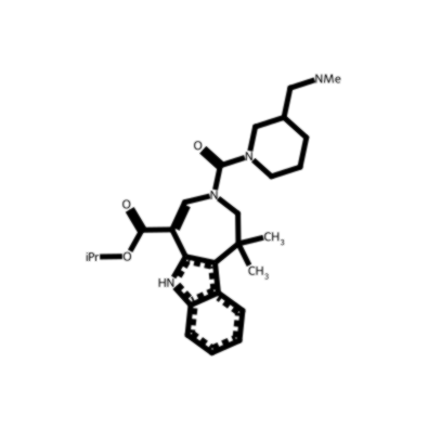 CNCC1CCCN(C(=O)N2C=C(C(=O)OC(C)C)c3[nH]c4ccccc4c3C(C)(C)C2)C1